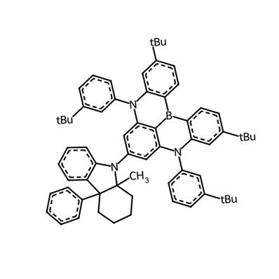 CC(C)(C)c1cccc(N2c3cc(C(C)(C)C)ccc3B3c4ccc(C(C)(C)C)cc4N(c4cccc(C(C)(C)C)c4)c4cc(N5c6ccccc6C6(c7ccccc7)CCCCC56C)cc2c43)c1